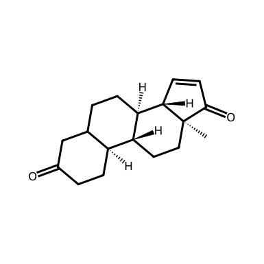 C[C@]12CC[C@H]3[C@@H](CCC4CC(=O)CC[C@@H]43)[C@@H]1C=CC2=O